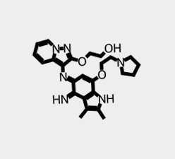 Cc1[nH]c2c(c1C)C(=N)/C(=N/c1c(OCCO)nn3ccccc13)C=C2OCCN1CCCC1